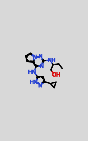 CC[C@@H](CO)Nc1nc(Nc2cc(C3CC3)n[nH]2)c2cccn2n1